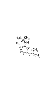 CC(C)C[C@@H](C=O)OC(=O)NC(C)(C)C